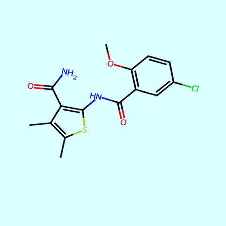 COc1ccc(Cl)cc1C(=O)Nc1sc(C)c(C)c1C(N)=O